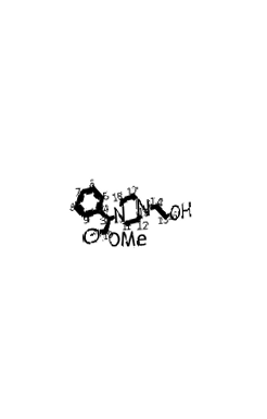 COC(=O)C(c1ccccc1)N1CCN(CCO)CC1